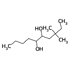 CCCCC(O)C(O)CC(C)(C)CC